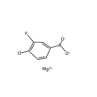 [Mg+2].[O-]B([O-])c1ccc(Cl)c(F)c1